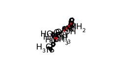 Cc1ncsc1-c1ccc(CNC(=O)C2C[C@@H](O)CN2C(=O)[C@@H](NC(=O)CCCCCCCCC(=O)N2C3CCCC2CN(c2cc(-c4ccccc4O)nnc2N)C3)C(C)(C)C)cc1